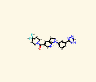 O=C(c1cnc2c(ccn2-c2cccc(-c3nnc[nH]3)c2)c1)N1CCC(F)(F)CC1